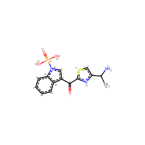 NC(c1csc(C(=O)c2cn(P(=O)(O)O)c3ccccc23)n1)C(F)(F)F